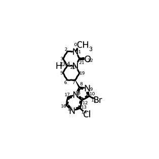 CN1CC[C@@H]2CC[C@H](c3nc(Br)c4c(Cl)nccn34)CN2C1=O